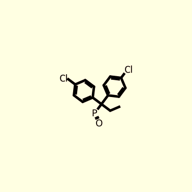 CCC(P=O)(c1ccc(Cl)cc1)c1ccc(Cl)cc1